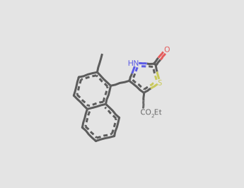 CCOC(=O)c1sc(=O)[nH]c1-c1c(C)ccc2ccccc12